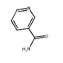 NC(=O)c1[c]ccnc1